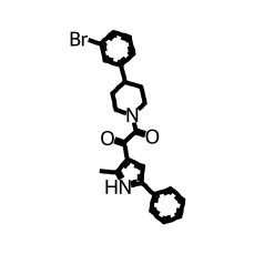 Cc1[nH]c(-c2ccccc2)cc1C(=O)C(=O)N1CCC(c2cccc(Br)c2)CC1